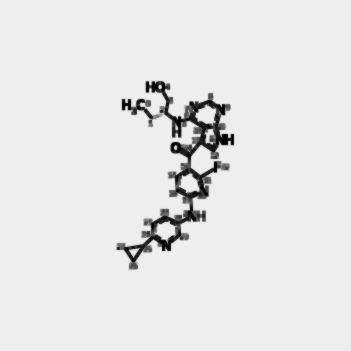 CC[C@H](CO)Nc1ncnc2[nH]cc(C(=O)c3ccc(Nc4ccc(C5CC5)nc4)nc3F)c12